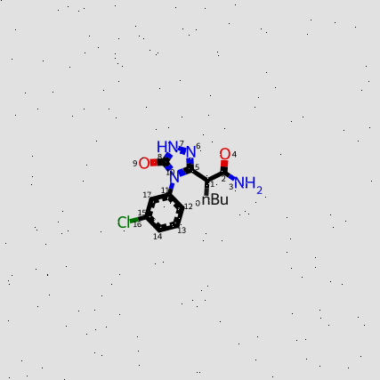 CCCCC(C(N)=O)c1n[nH]c(=O)n1-c1cccc(Cl)c1